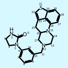 O=C1NCCN1c1cccc(CN2CCN3c4cccc5scc(c45)CC3C2)c1